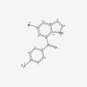 O=C(c1ccc(C(F)(F)F)cc1)c1cc(Br)cc2c[c][nH]c12